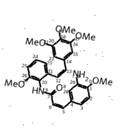 COc1ccc(/C=C\C(=O)Nc2c(/C=C\c3cc(OC)c(OC)c(OC)c3)cccc2OC)cc1N